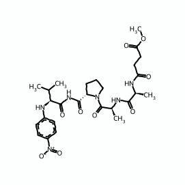 COC(=O)CCC(=O)N[C@@H](C)C(=O)N[C@@H](C)C(=O)N1CCC[C@H]1C(=O)NC(=O)[C@@H](Nc1ccc([N+](=O)[O-])cc1)C(C)C